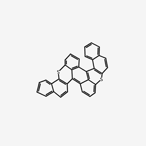 c1ccc2c(c1)ccc1c2sc2cccc3c2c1c1cccc2sc4ccc5ccccc5c4c3c21